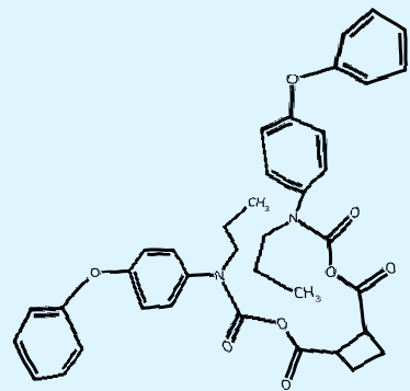 CCCN(C(=O)OC(=O)C1CCC1C(=O)OC(=O)N(CCC)c1ccc(Oc2ccccc2)cc1)c1ccc(Oc2ccccc2)cc1